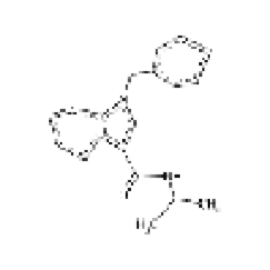 CC(C)NC(=O)c1cn(Cc2ccccc2)c2ccccc12